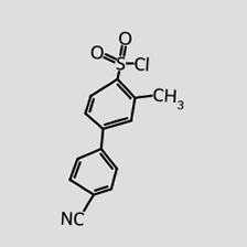 Cc1cc(-c2ccc(C#N)cc2)ccc1S(=O)(=O)Cl